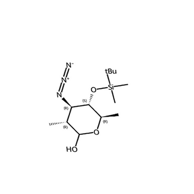 C[C@H]1OC(O)[C@H](C)[C@@H](N=[N+]=[N-])[C@@H]1O[Si](C)(C)C(C)(C)C